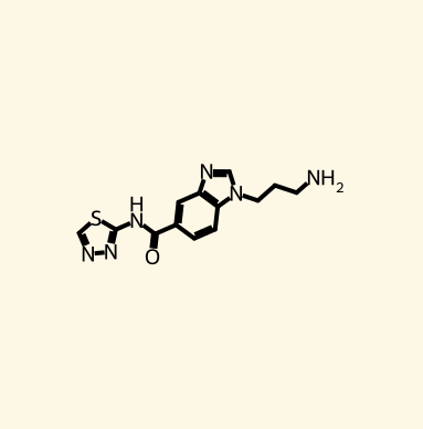 NCCCn1cnc2cc(C(=O)Nc3nncs3)ccc21